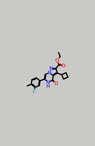 CCOC(=O)c1nn2cc(-c3ccc(C)c(F)c3)[nH]c(=O)c2c1C1CCC1